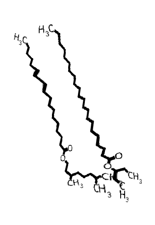 CCCCCCCCCCCCCCCCCC(=O)OCCC(C)CCCC(C)C.CCCCCCCCCCCCCCCCCCCCCC(=O)OC(CC)CC